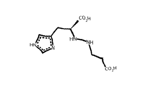 O=C(O)CCNN[C@@H](Cc1c[nH]cn1)C(=O)O